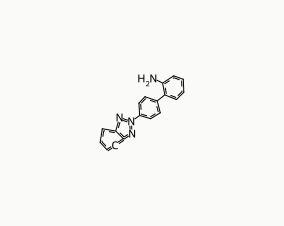 Nc1ccccc1-c1ccc(-n2nc3ccccc3n2)cc1